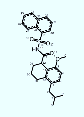 COc1ccc(CC(C)C)c2c1C(C(=O)NS(=O)(=O)c1cccc3ccccc13)CCC2